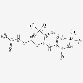 CCCC(C)(CC)NC(C(=O)NC(CCCNC(N)=O)C(=O)C(C)(CC)CCC)C(C)C